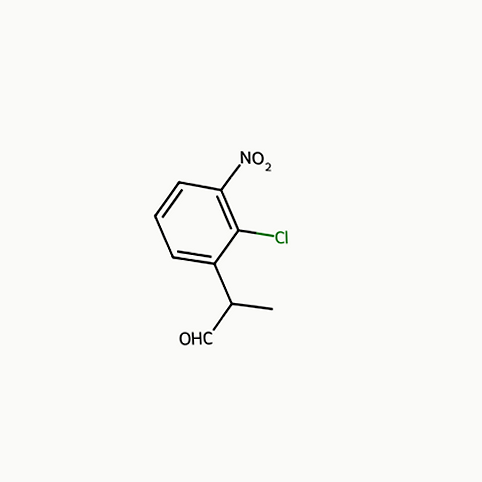 CC(C=O)c1cccc([N+](=O)[O-])c1Cl